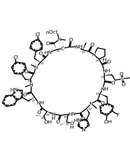 CCCCCCCCN(C)C(=O)[C@@H]1CC(=O)N[C@@H](C)C(=O)N2CCC[C@H]2C(=O)N[C@@H](CCS(C)(=O)=O)C(=O)N[C@@H](Cc2ccc(O)c(F)c2)C(=O)N(C)[C@@H](Cc2cnc[nH]2)C(=O)N[C@@H]([C@@H](C)O)C(=O)N[C@@H]([C@@H](C)O)C(=O)N[C@@H](Cc2c[nH]c3ccccc23)C(=O)N(C)[C@@H](Cc2ccc(Cl)cc2)C(=O)N(C)[C@@H](Cc2ccc(Cl)cc2)C(=O)N1